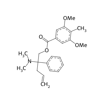 C=CCC(COC(=O)c1cc(OC)c(C)c(OC)c1)(c1ccccc1)N(C)C